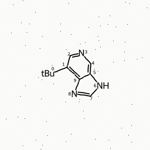 CC(C)(C)c1cncc2[nH]cnc12